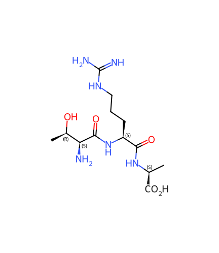 C[C@H](NC(=O)[C@H](CCCNC(=N)N)NC(=O)[C@@H](N)[C@@H](C)O)C(=O)O